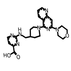 O=C(O)c1ccnc(NCC2CCN(c3nc(N4CCOCC4)cc4ncccc34)CC2)n1